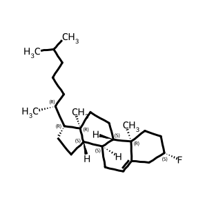 CC(C)CCC[C@@H](C)[C@H]1CC[C@H]2[C@@H]3CC=C4C[C@@H](F)CC[C@]4(C)[C@H]3CC[C@]12C